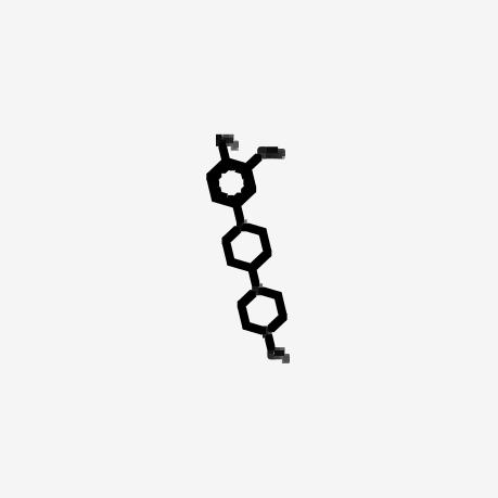 COc1cc(N2CCC(N3CCP(C)CC3)CC2)ccc1N